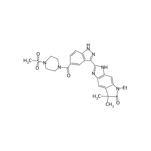 CCN1C(=O)C(C)(C)c2cc3nc(-c4n[nH]c5ccc(C(=O)N6CCN(S(C)(=O)=O)CC6)cc45)[nH]c3cc21